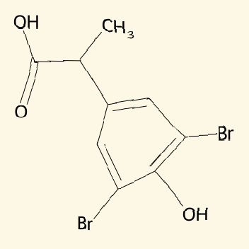 CC(C(=O)O)c1cc(Br)c(O)c(Br)c1